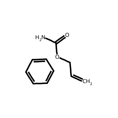 C=CCOC(N)=O.c1ccccc1